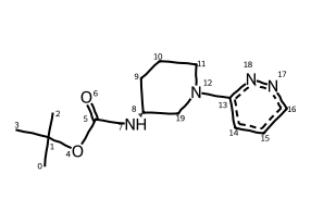 CC(C)(C)OC(=O)N[C@@H]1CCCN(c2cccnn2)C1